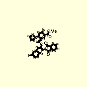 COC(=O)c1nc(C(C)Oc2cc3cc(F)ccc3nc2N2C(=O)c3ccccc3C2=O)c(-n2cccn2)cc1F